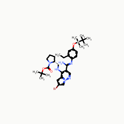 CCc1cc(O[Si](C)(C)C(C)(C)C)ccc1/N=C(\N)c1cnn2cc(Br)cc2c1NC[C@H]1CCCN1C(=O)OC(C)(C)C